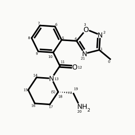 Cc1noc(-c2ccccc2C(=O)N2CCCC[C@H]2CN)n1